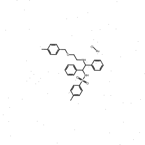 Cc1ccc(COCCNC(c2ccccc2)C(NS(=O)(=O)c2ccc(C)cc2)c2ccccc2)cc1.[Cl][Ru]